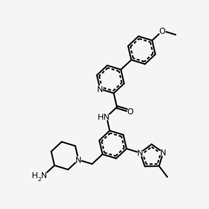 COc1ccc(-c2ccnc(C(=O)Nc3cc(CN4CCCC(N)C4)cc(-n4cnc(C)c4)c3)c2)cc1